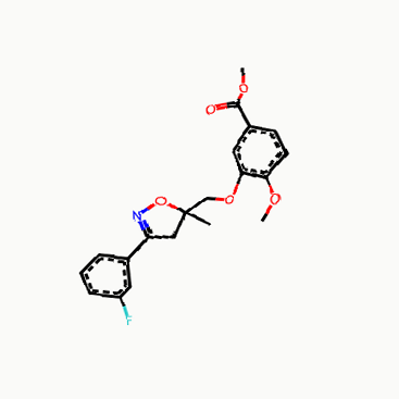 COC(=O)c1ccc(OC)c(OCC2(C)CC(c3cccc(F)c3)=NO2)c1